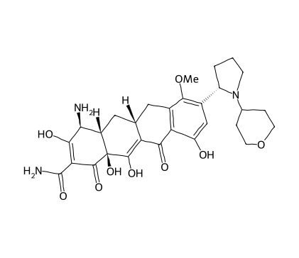 COc1c([C@@H]2CCCN2C2CCOCC2)cc(O)c2c1C[C@H]1C[C@H]3[C@H](N)C(O)=C(C(N)=O)C(=O)[C@@]3(O)C(O)=C1C2=O